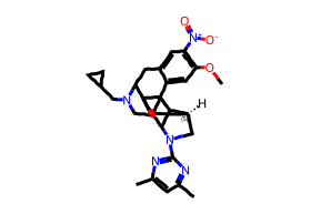 COc1cc2c(cc1[N+](=O)[O-])CC1N(CC3CC3)CCC23C2C4CCC13C[C@@H]2CN4c1nc(C)cc(C)n1